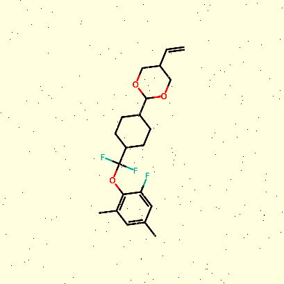 C=CC1COC(C2CCC(C(F)(F)Oc3c(C)cc(C)cc3F)CC2)OC1